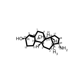 C[C@]12CC[C@H]3[C@@H](CCC4=C[C@H](O)CC[C@@]43C)[C@@H]1CC[C@@H]2N